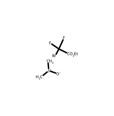 CCOC(=O)C(F)(F)Br.C[S+](C)[O-]